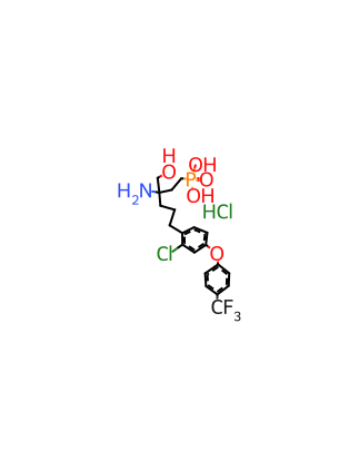 Cl.NC(CO)(CCCc1ccc(Oc2ccc(C(F)(F)F)cc2)cc1Cl)CCP(=O)(O)O